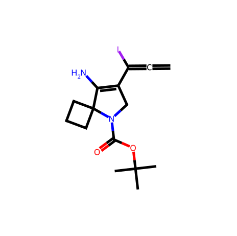 C=C=C(I)C1=C(N)C2(CCC2)N(C(=O)OC(C)(C)C)C1